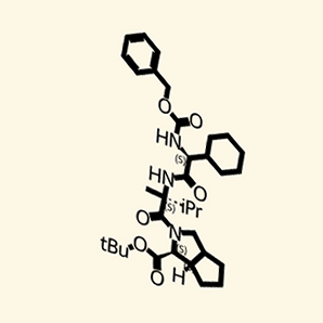 CC(C)[C@](C)(NC(=O)[C@@H](NC(=O)OCc1ccccc1)C1CCCCC1)C(=O)N1CC2CCC[C@@H]2[C@H]1C(=O)OC(C)(C)C